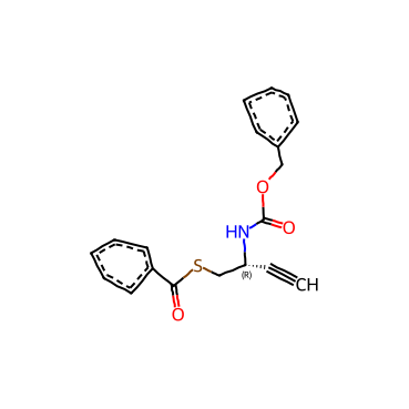 C#C[C@H](CSC(=O)c1ccccc1)NC(=O)OCc1ccccc1